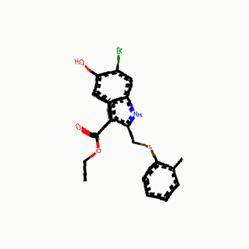 CCOC(=O)c1c(CSc2ccccc2C)[nH]c2cc(Br)c(O)cc12